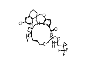 CO[C@H]1/C=C/CCC[S@@](=O)(NC(=O)CC2(C(F)(F)F)CC2)=NC(=O)c2ccc3c(c2)N(C[C@@H]2CC[C@H]21)C[C@@]1(CCCc2cc(Cl)ccc21)CO3